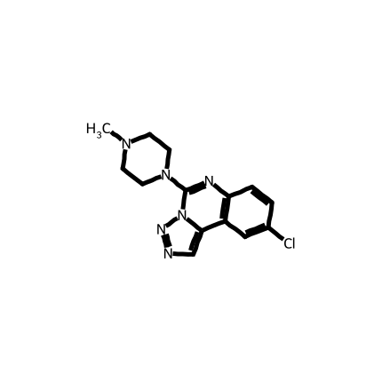 CN1CCN(c2nc3ccc(Cl)cc3c3cnnn23)CC1